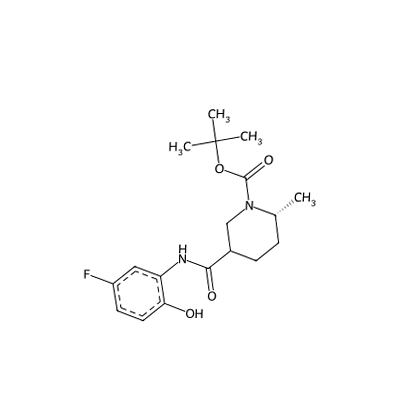 C[C@@H]1CCC(C(=O)Nc2cc(F)ccc2O)CN1C(=O)OC(C)(C)C